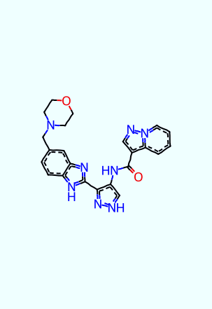 O=C(Nc1c[nH]nc1-c1nc2cc(CN3CCOCC3)ccc2[nH]1)c1cnn2ccccc12